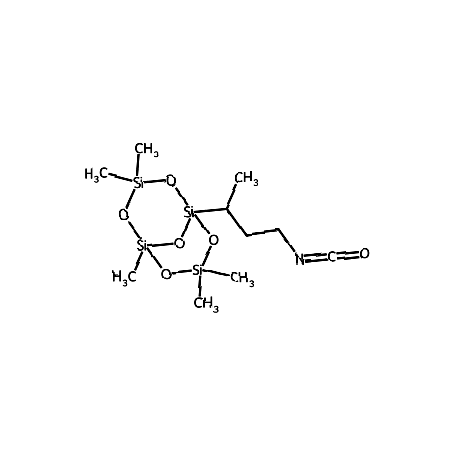 CC(CCN=C=O)[Si]12O[Si](C)(C)O[Si](C)(O[Si](C)(C)O1)O2